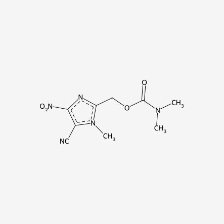 CN(C)C(=O)OCc1nc([N+](=O)[O-])c(C#N)n1C